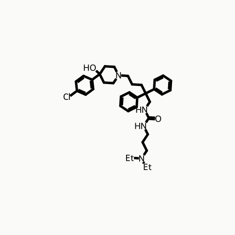 CCN(CC)CCCNC(=O)NCC(CCCN1CCC(O)(c2ccc(Cl)cc2)CC1)(c1ccccc1)c1ccccc1